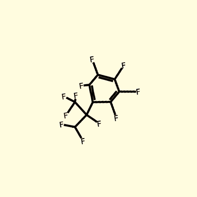 F[C](F)C(F)(c1c(F)c(F)c(F)c(F)c1F)C(F)(F)F